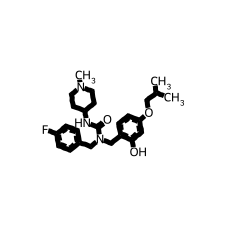 CC(C)COc1ccc(CN(Cc2ccc(F)cc2)C(=O)NC2CCN(C)CC2)c(O)c1